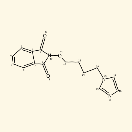 O=C1c2ccccc2C(=O)N1OCCCCn1ccnc1